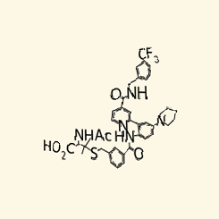 CC(=O)NC(C(=O)O)C(C)(C)SCc1cccc(C(=O)Nc2ccc(N3CCCCC3)cc2-c2cc(C(=O)NCc3cccc(C(F)(F)F)c3)ccn2)c1